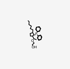 CCCCCCC1CCC(C(C)OCCO)[C@H]1P(c1ccccc1)c1ccccc1